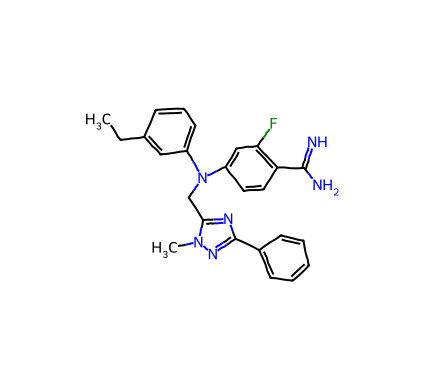 CCc1cccc(N(Cc2nc(-c3ccccc3)nn2C)c2ccc(C(=N)N)c(F)c2)c1